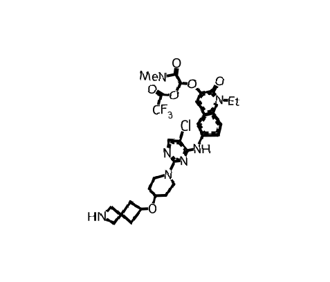 CCn1c(=O)c(OC(OC(=O)C(F)(F)F)C(=O)NC)cc2cc(Nc3nc(N4CCC(OC5CC6(CNC6)C5)CC4)ncc3Cl)ccc21